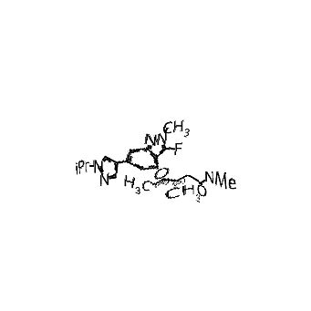 CNC(=O)C[C@H](C)[C@@H](C)Oc1cc(-c2cnn(C(C)C)c2)cc2nn(C)c(F)c12